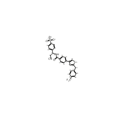 CCS(=O)(=O)c1ccc([C@H](CC#N)NC(=O)c2ccc(-c3csc(Cc4ccc(C(F)(F)F)cc4)n3)cc2)cc1